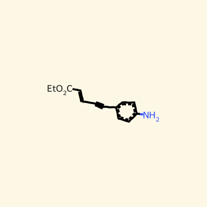 CCOC(=O)C=CC#Cc1ccc(N)cc1